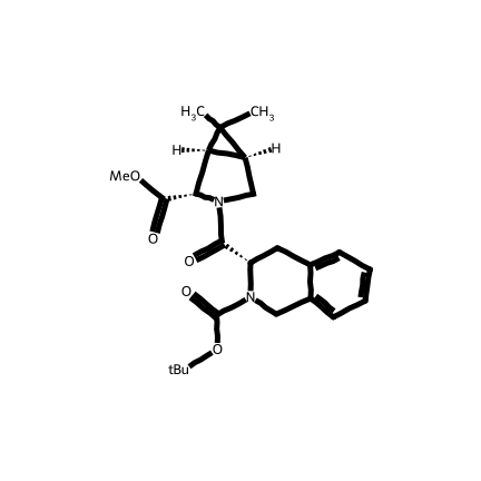 COC(=O)[C@@H]1[C@@H]2[C@H](CN1C(=O)[C@@H]1Cc3ccccc3CN1C(=O)OC(C)(C)C)C2(C)C